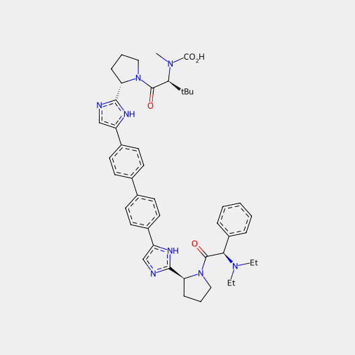 CCN(CC)[C@@H](C(=O)N1CCC[C@H]1c1ncc(-c2ccc(-c3ccc(-c4cnc([C@@H]5CCCN5C(=O)[C@@H](N(C)C(=O)O)C(C)(C)C)[nH]4)cc3)cc2)[nH]1)c1ccccc1